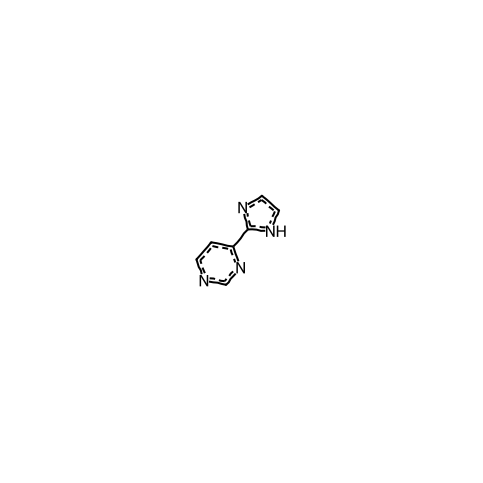 c1cc(-c2ncc[nH]2)ncn1